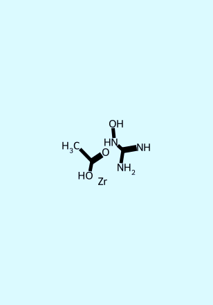 CC(=O)O.N=C(N)NO.[Zr]